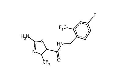 NC1=NC(C(F)(F)F)C(C(=O)NCc2ccc(F)cc2C(F)(F)F)S1